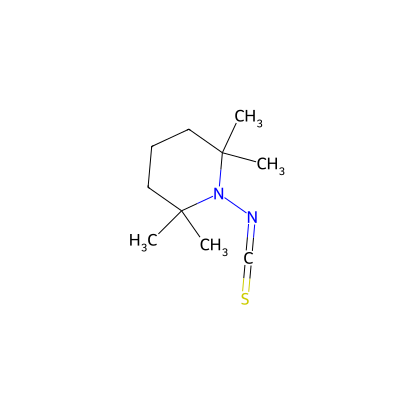 CC1(C)CCCC(C)(C)N1N=C=S